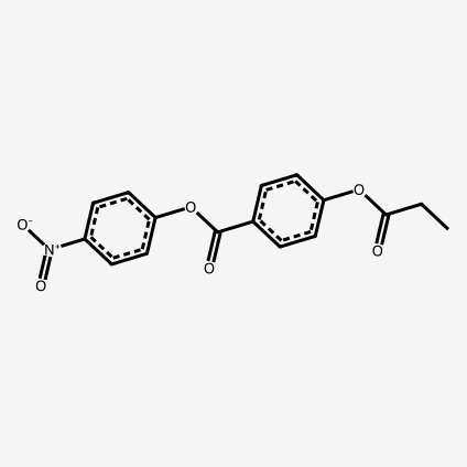 CCC(=O)Oc1ccc(C(=O)Oc2ccc([N+](=O)[O-])cc2)cc1